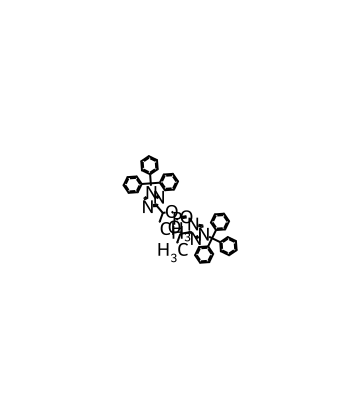 CCC(O[PH](=O)OC(CC)c1ncn(C(c2ccccc2)(c2ccccc2)c2ccccc2)n1)c1ncn(C(c2ccccc2)(c2ccccc2)c2ccccc2)n1